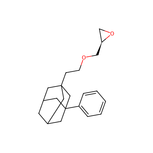 c1ccc(C23CC4CC(CC(CCOC[C@H]5CO5)(C4)C2)C3)cc1